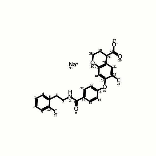 O=C(NCCc1ccccc1Cl)c1ccc(Oc2cc3c(cc2Cl)C(C(=O)[O-])CCO3)cc1.[Na+]